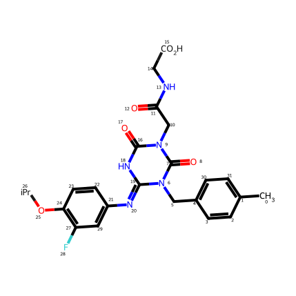 Cc1ccc(Cn2c(=O)n(CC(=O)NCC(=O)O)c(=O)[nH]/c2=N\c2ccc(OC(C)C)c(F)c2)cc1